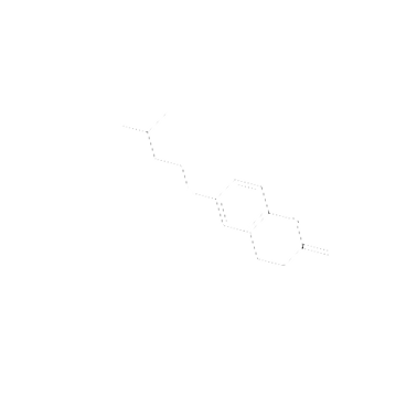 C=C1CCc2cc(OCCC(C)C)ccc2N1